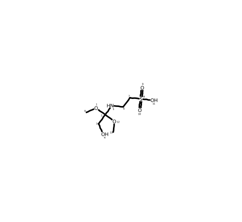 COC(CO)(NCCS(=O)(=O)O)OC